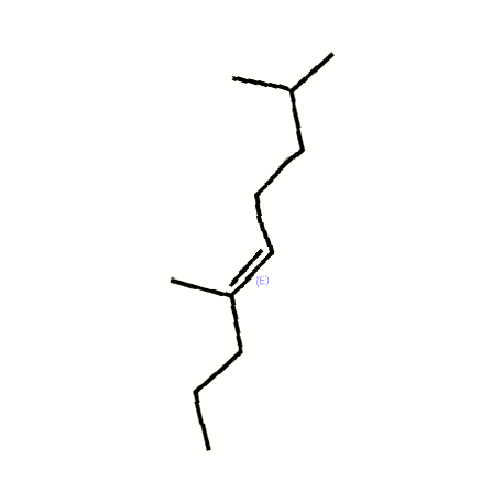 CCC/C(C)=C/CCC(C)C